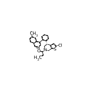 C=CC(=O)N1Cc2sc(Cl)cc2[C@@H](c2ccccc2-c2cncc3ccc(C)cc23)C1